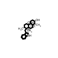 C[C@@H]1CC[C@@]2(C)[C@@H]3CC[C@H](O)[C@H](C)[C@@]3(C)CC[C@@H]2[C@@]1(C)Cc1c[nH]c2ccccc12